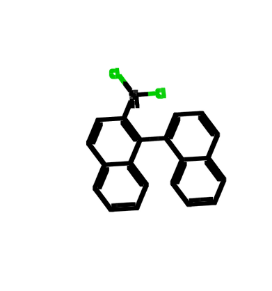 Cl[SiH](Cl)c1ccc2ccccc2c1-c1cccc2ccccc12